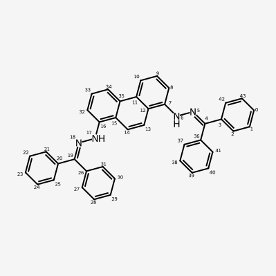 c1ccc(C(=NNc2cccc3c2ccc2c(NN=C(c4ccccc4)c4ccccc4)cccc23)c2ccccc2)cc1